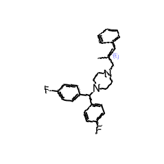 C/C(=C\c1ccccc1)CN1CCN(C(c2ccc(F)cc2)c2ccc(F)cc2)CC1